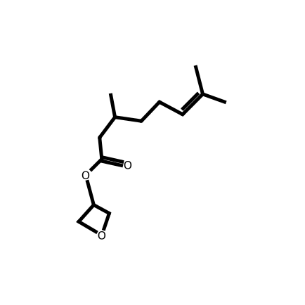 CC(C)=CCCC(C)CC(=O)OC1COC1